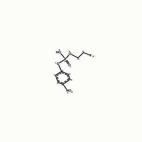 O=[N+]([O-])c1ccc(OP(=O)(O)OCCF)cc1